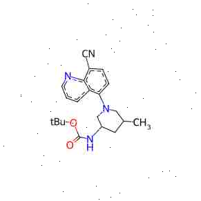 CC1CC(NC(=O)OC(C)(C)C)CN(c2ccc(C#N)c3ncccc23)C1